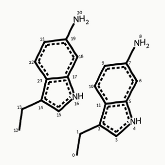 CCc1c[nH]c2cc(N)ccc12.CCc1c[nH]c2cc(N)ccc12